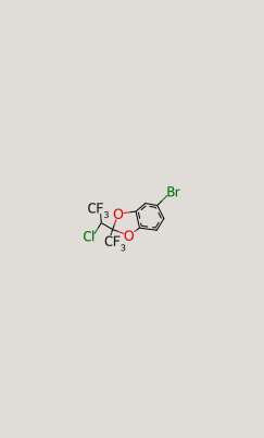 FC(F)(F)C(Cl)C1(C(F)(F)F)Oc2ccc(Br)cc2O1